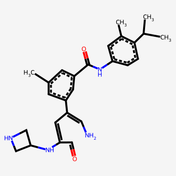 Cc1cc(C(=O)Nc2ccc(C(C)C)c(C)c2)cc(C(/C=C(\C=O)NC2CNC2)=C/N)c1